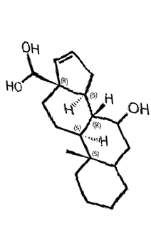 C[C@]12CCCCC1CC(O)[C@@H]1[C@@H]2CC[C@]2(C(O)O)C=CC[C@@H]12